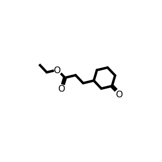 CCOC(=O)CCC1CCCC(=O)C1